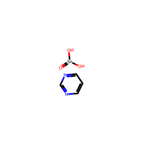 [O]=[Sn]([OH])[OH].c1cncnc1